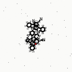 N#Cc1ccc2c(c1)c1ccccc1n2-c1ccc2c(c1)Sc1cccc(-n3c4ccccc4c4cc(C#N)ccc43)c1C21c2cccnc2-c2ncc(-n3c4ccccc4c4cc(C#N)ccc43)cc21